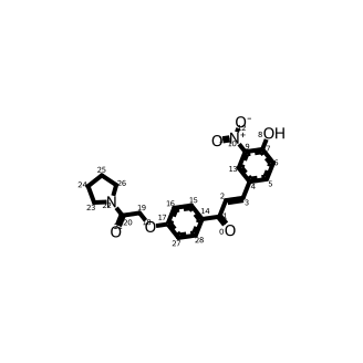 O=C(/C=C/c1ccc(O)c([N+](=O)[O-])c1)c1ccc(OCC(=O)N2CCCC2)cc1